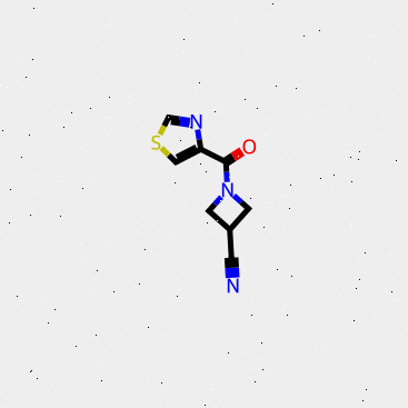 N#CC1CN(C(=O)c2cscn2)C1